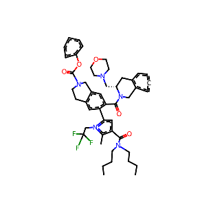 CCCCN(CCCC)C(=O)c1cc(-c2cc3c(cc2C(=O)N2Cc4ccccc4C[C@H]2CN2CCOCC2)CN(C(=O)Oc2ccccc2)CC3)n(CC(F)(F)F)c1C